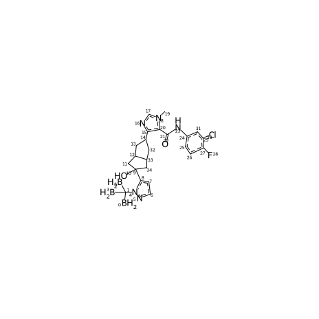 BC(B)(B)n1nccc1C1(O)CC2CC(c3ncn(C)c3C(=O)Nc3ccc(F)c(Cl)c3)CC2C1